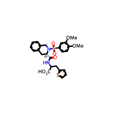 COc1ccc(S(=O)(=O)N2Cc3ccccc3C[C@H]2C(=O)NC(Cc2cccs2)C(=O)O)cc1OC